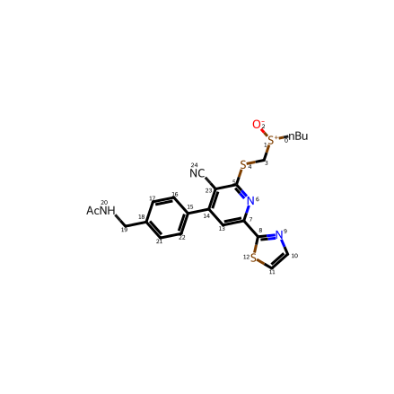 CCCC[S+]([O-])CSc1nc(-c2nccs2)cc(-c2ccc(CNC(C)=O)cc2)c1C#N